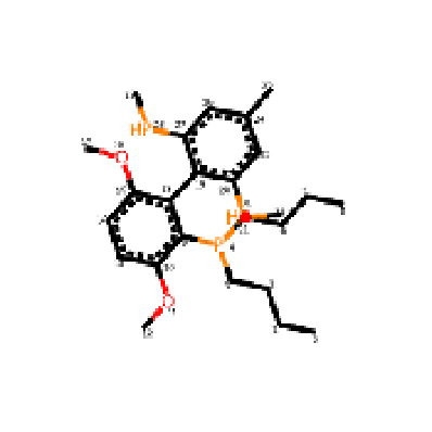 CCCCP(CCCC)c1c(OC)ccc(OC)c1-c1c(PC)cc(C)cc1PC